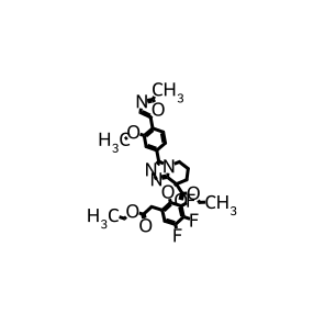 CCOC(=O)Cc1cc(F)c(F)c(F)c1OC1(C(=O)OCC)CCCn2c(-c3ccc(-c4cnc(C)o4)c(OC)c3)nnc21